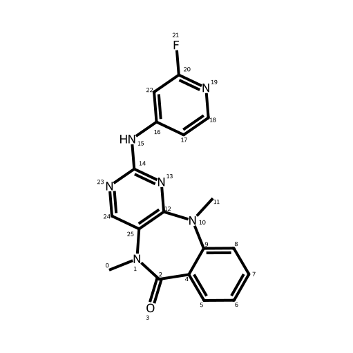 CN1C(=O)c2ccccc2N(C)c2nc(Nc3ccnc(F)c3)ncc21